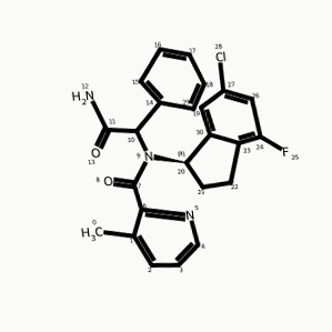 Cc1cccnc1C(=O)N(C(C(N)=O)c1ccccc1)[C@@H]1CCc2c(F)cc(Cl)cc21